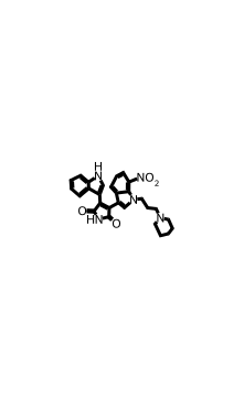 O=C1NC(=O)C(c2cn(CCCN3CCCCC3)c3c([N+](=O)[O-])cccc23)=C1c1c[nH]c2ccccc12